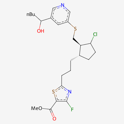 CCCCC(O)c1cncc(SC[C@H]2C(Cl)CC[C@@H]2CCCc2nc(F)c(C(=O)OC)s2)c1